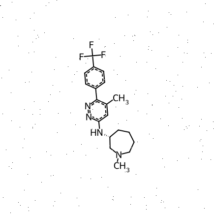 Cc1cc(N[C@@H]2CCCCN(C)C2)nnc1-c1ccc(C(F)(F)F)cc1